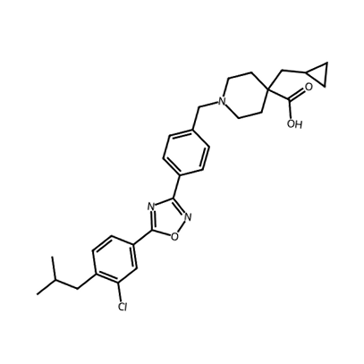 CC(C)Cc1ccc(-c2nc(-c3ccc(CN4CCC(CC5CC5)(C(=O)O)CC4)cc3)no2)cc1Cl